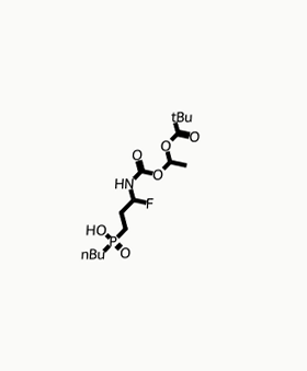 CCCCP(=O)(O)CCC(F)NC(=O)OC(C)OC(=O)C(C)(C)C